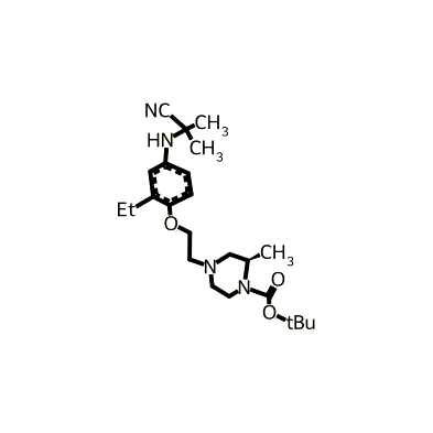 CCc1cc(NC(C)(C)C#N)ccc1OCCN1CCN(C(=O)OC(C)(C)C)[C@H](C)C1